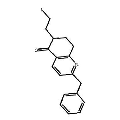 O=C1c2ccc(Cc3ccccc3)nc2CCC1CCI